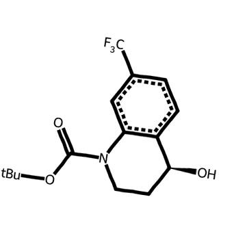 CC(C)(C)OC(=O)N1CC[C@H](O)c2ccc(C(F)(F)F)cc21